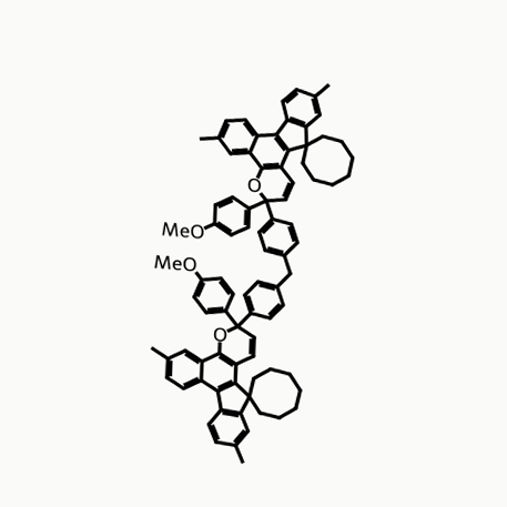 COc1ccc(C2(c3ccc(Cc4ccc(C5(c6ccc(OC)cc6)C=Cc6c7c(c8ccc(C)cc8c6O5)-c5ccc(C)cc5C75CCCCCCC5)cc4)cc3)C=Cc3c4c(c5ccc(C)cc5c3O2)-c2ccc(C)cc2C42CCCCCCC2)cc1